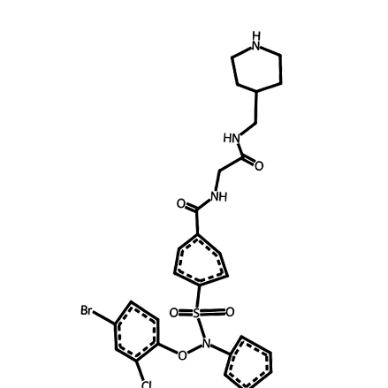 O=C(CNC(=O)c1ccc(S(=O)(=O)N(Oc2ccc(Br)cc2Cl)c2ccccc2)cc1)NCC1CCNCC1